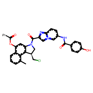 Cc1cccc2c(OC(=O)C(C)C)cc3c(c12)[C@H](CCl)CN3C(=O)c1cn2cc(NC(=O)c3ccc(O)cc3)ccc2n1